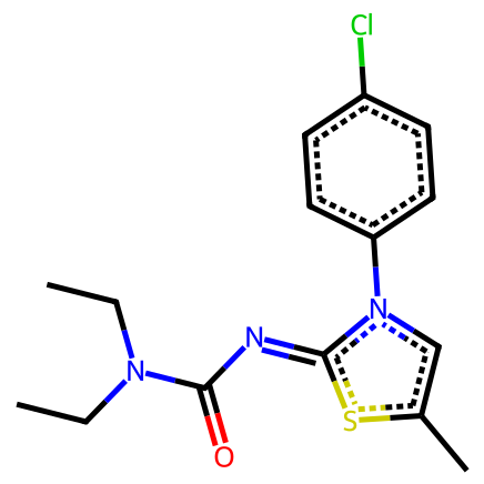 CCN(CC)C(=O)/N=c1\sc(C)cn1-c1ccc(Cl)cc1